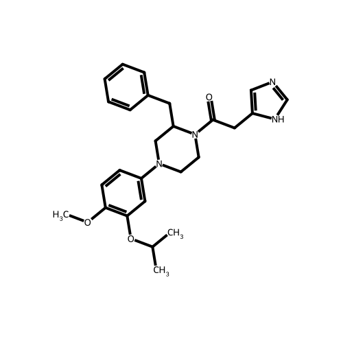 COc1ccc(N2CCN(C(=O)Cc3cnc[nH]3)C(Cc3ccccc3)C2)cc1OC(C)C